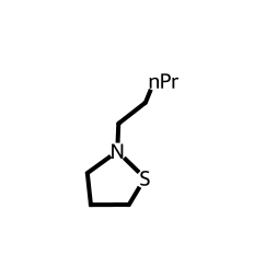 CCCCCN1CCCS1